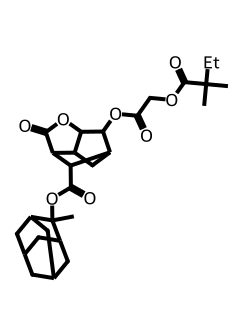 CCC(C)(C)C(=O)OCC(=O)OC1C2CC3C1OC(=O)C3C2C(=O)OC1(C)C2CC3CC(C2)CC1C3